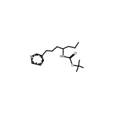 CCCC(CCCc1cccnc1)NC(=O)OC(C)(C)C